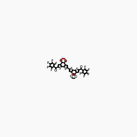 O=C(c1cc2c(s1)-c1sc(-c3cc4c(s3)-c3sc(C(=O)c5c(F)c(F)c(F)c(F)c5F)cc3C35OCCOC43OCCO5)cc1C13OCCOC21OCCO3)c1c(F)c(F)c(F)c(F)c1F